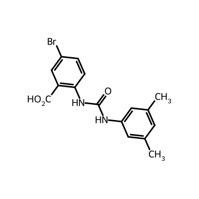 Cc1cc(C)cc(NC(=O)Nc2ccc(Br)cc2C(=O)O)c1